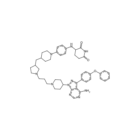 Nc1ncnc2c1c(-c1ccc(Oc3ccccc3)cc1)nn2C1CCN(CCCN2CCC(CC3CCN(c4ccc(NC5CCC(=O)NC5=O)cc4)CC3)C2)CC1